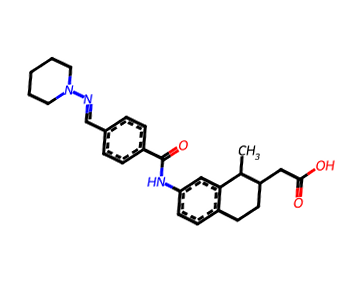 CC1c2cc(NC(=O)c3ccc(C=NN4CCCCC4)cc3)ccc2CCC1CC(=O)O